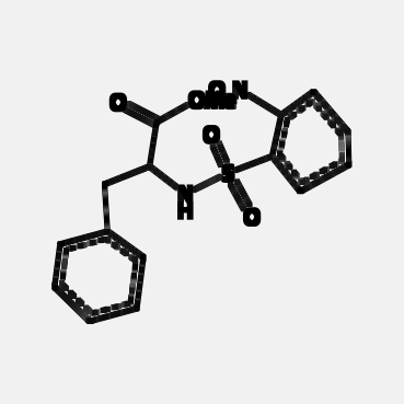 COC(=O)C(Cc1ccccc1)NS(=O)(=O)c1ccccc1[N+](=O)[O-]